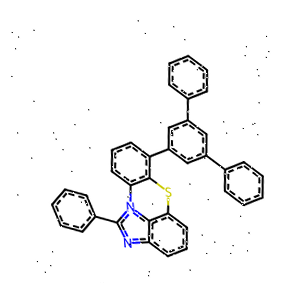 c1ccc(-c2cc(-c3ccccc3)cc(-c3cccc4c3Sc3cccc5nc(-c6ccccc6)n-4c35)c2)cc1